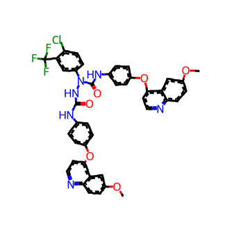 COc1ccc2nccc(Oc3ccc(NC(=O)NN(C(=O)Nc4ccc(Oc5ccnc6ccc(OC)cc56)cc4)c4ccc(Cl)c(C(F)(F)F)c4)cc3)c2c1